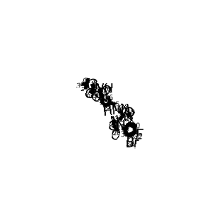 CC(C)(C)OC(=O)NS(=O)(=O)N1CCC(CNc2nonc2-c2noc(=O)n2-c2ccc(F)c(Br)c2)C1